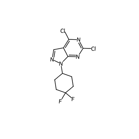 FC1(F)CCC(n2ncc3c(Cl)nc(Cl)nc32)CC1